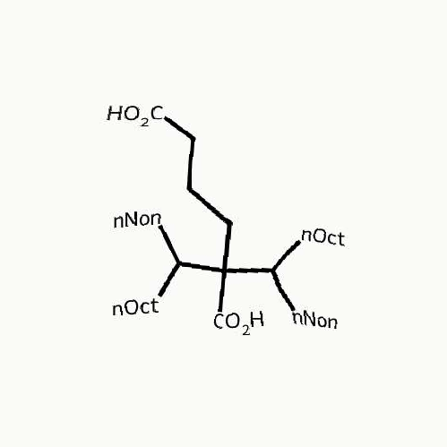 CCCCCCCCCC(CCCCCCCC)C(CCCC(=O)O)(C(=O)O)C(CCCCCCCC)CCCCCCCCC